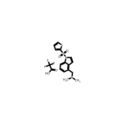 CN(C)Cc1cccc2c1ccn2S(=O)(=O)c1cccs1.O=C(O)C(F)(F)F